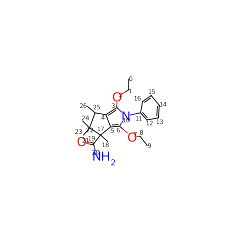 CCOc1c2c(c(OCC)n1-c1ccccc1)C(C)(C(N)=O)C(C)(C)C2C